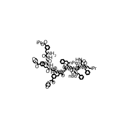 CCCCCC(Cc1ccccc1)C(=O)N(CC(=O)NN(CC(=O)NN(CC([NH])=O)C(=O)N(CCC(C)C)Cc1ccccc1)C(=O)N(CCCC)Cc1ccccc1)NC(=O)CNC(=O)C(Cc1cccc(C(=O)CN2CCOCC2)c1)NNC(=O)CNC(=O)C(Cc1cccc(C(=O)N2CCOCC2)c1)NNC(=O)CNC(=O)C(N)Cc1cccc(C(=O)OC(C)C)c1